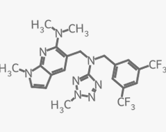 CN(C)c1nc2c(ccn2C)cc1CN(Cc1cc(C(F)(F)F)cc(C(F)(F)F)c1)c1nnn(C)n1